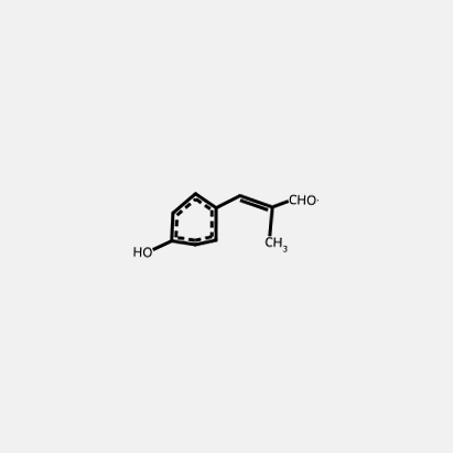 CC([C]=O)=Cc1ccc(O)cc1